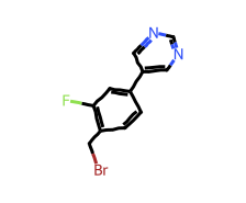 Fc1cc(-c2cncnc2)ccc1CBr